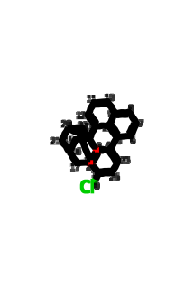 Clc1ccc(-c2cccc3cccc(C45CC6CC(CC(C6)C4)C5)c23)cc1